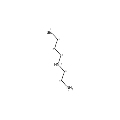 CC(C)(C)CCCNCCN